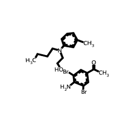 CC(=O)c1cc(Br)c(N)c(Br)c1.CCCCN(CCO)c1cccc(C)c1